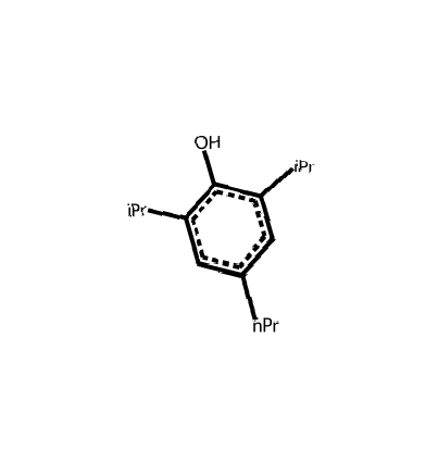 CCCc1cc(C(C)C)c(O)c(C(C)C)c1